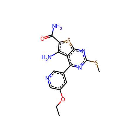 CCOc1cncc(-c2nc(SC)nc3sc(C(N)=O)c(N)c23)c1